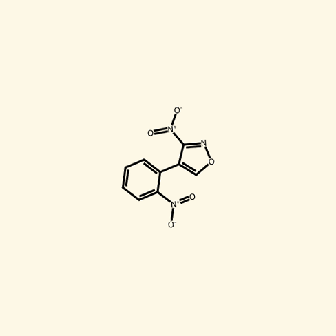 O=[N+]([O-])c1ccccc1-c1conc1[N+](=O)[O-]